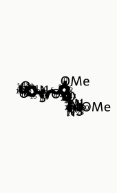 COc1cc(OCc2csc(C3=CCC4(CC3)OCCO4)n2)c2cc(-c3cnc4sc(OC)nn34)oc2c1